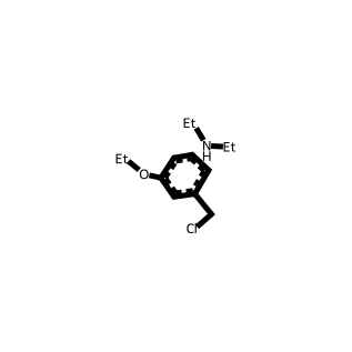 CCNCC.CCOc1cccc(CCl)c1